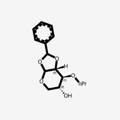 CCCO[C@H]1[C@H](O)COC2OC(c3ccccc3)O[C@@H]21